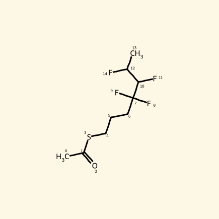 CC(=O)SCCCC(F)(F)C(F)C(C)F